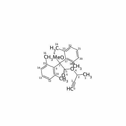 C#CC(C)OC(=O)C(OC)(c1c(C)cccc1C)c1c(C)cccc1C